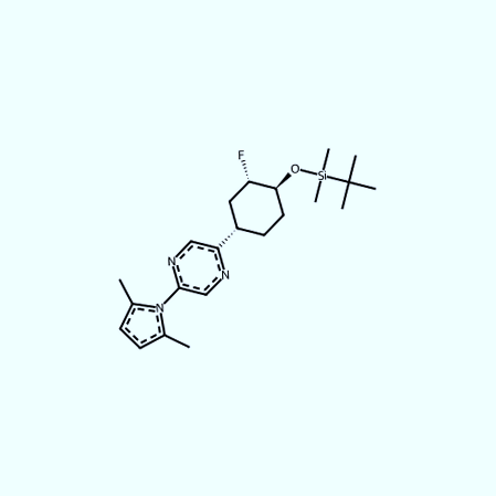 Cc1ccc(C)n1-c1cnc([C@H]2CC[C@H](O[Si](C)(C)C(C)(C)C)[C@@H](F)C2)cn1